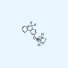 FC(F)(F)c1ccc(O[C@@H]2C[C@H]3CC[C@@H](C2)N3)cc1-c1ccccc1